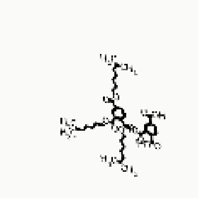 CC(C)CCCCCOC(=O)c1ccc(C(=O)OCCCCCC(C)C)c(C(=O)OCCCCCC(C)C)c1.O=C(O)c1ccc(C(=O)O)c(C(=O)O)c1